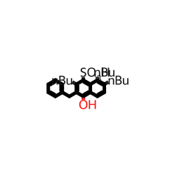 CCCCc1ccc2c(O)c(Cc3ccccc3)c(CCCC)c(S(=O)(=O)O)c2c1CCCC